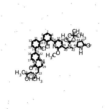 COc1nc(-c2cccc(-c3cccc(-c4ccn5c(=O)c(CN(C)C[C@H](C)O)cnc5c4)c3Cl)c2Cl)ccc1CN(C[C@@H]1CCC(=O)N1)C(=O)OC(C)(C)C